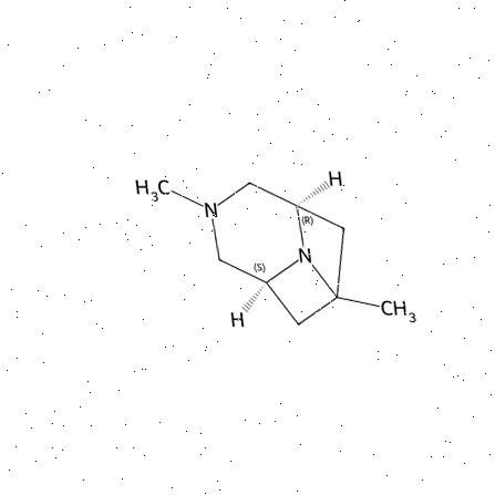 CN1C[C@@H]2CC3(C)C[C@H](C1)N23